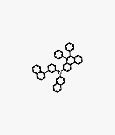 c1ccc(-c2c(-c3ccccc3)c3cc(N(c4cccc(-c5cccc6ccccc56)c4)c4ccc5ccccc5c4)ccc3c3ccccc23)cc1